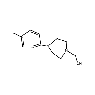 Cc1ccc(N2CCN(CC#N)CC2)cc1